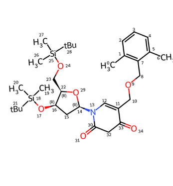 Cc1cccc(C)c1COCC1=CN([C@H]2C[C@@H](O[Si](C)(C)C(C)(C)C)[C@@H](CO[Si](C)(C)C(C)(C)C)O2)C(=O)CC1=O